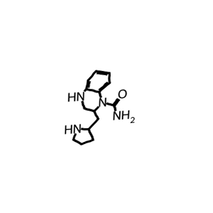 NC(=O)N1c2ccccc2NCC1CC1CCCN1